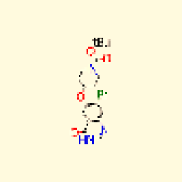 CC(C)(C)OC(=O)N1CCC(Oc2cc3c(=O)[nH]cnc3cc2Br)CC1